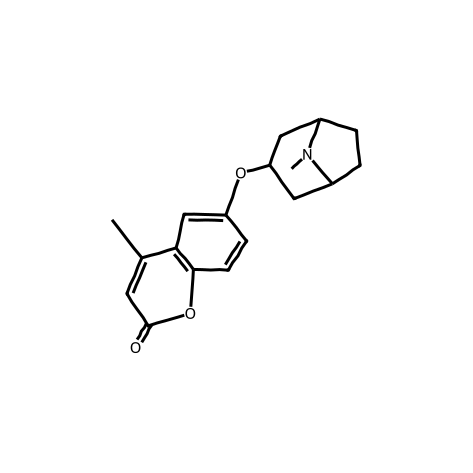 Cc1cc(=O)oc2ccc(OC3CC4CCC(C3)N4C)cc12